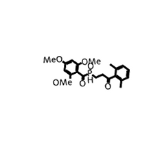 COc1cc(OC)c(C(=O)[PH](=O)CCC(=O)c2c(C)cccc2C)c(OC)c1